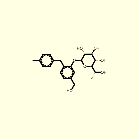 Cc1ccc(Cc2ccc(CO)cc2O[C@@H]2O[C@H]([C@@H](C)O)[C@@H](O)[C@H](O)[C@H]2O)cc1